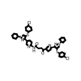 O=C(CCC(=O)c1ccc(-c2nn(-c3ccccc3)cc2Sc2ccc(Cl)cc2)nc1)Nc1ccc(-c2nn(-c3ccccc3)cc2Sc2ccc(Cl)cc2)cn1